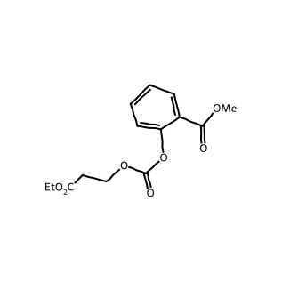 CCOC(=O)CCOC(=O)Oc1ccccc1C(=O)OC